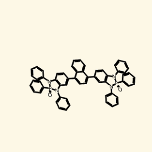 O=P1(c2ccccc2)N(c2ccccc2)c2ccc(-c3ccc(-c4ccc5c(c4)N(c4ccccc4)P(=O)(c4ccccc4)N5c4ccccc4)c4ccccc34)cc2N1c1ccccc1